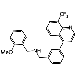 COc1ccccc1CNCc1cccc(-c2[c]cnc3c(C(F)(F)F)cccc23)c1